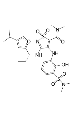 CC[C@@H](NC1=NS(=O)(=O)C(C(=O)N(C)C)=C1Nc1cccc(S(=O)(=O)N(C)C)c1O)c1cc(C(C)C)co1